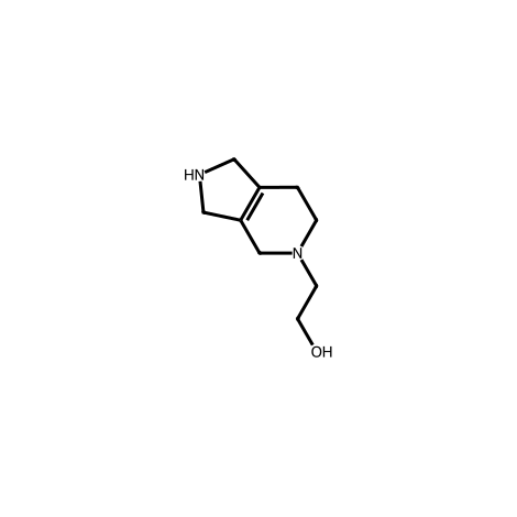 OCCN1CCC2=C(CNC2)C1